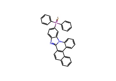 S=P(c1ccccc1)(c1ccccc1)c1ccc2nc3c4ccc5ccccc5c4c4ccccc4n3c2c1